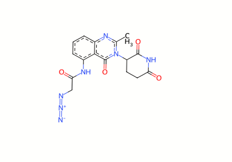 Cc1nc2cccc(NC(=O)CN=[N+]=[N-])c2c(=O)n1C1CCC(=O)NC1=O